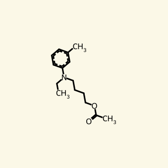 CCN(CCCCOC(C)=O)c1cccc(C)c1